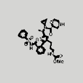 COC(=O)NCCCc1cc([C@@H](C)N(C(=O)[C@H]2CNCCO2)C2CC2)sc1-c1ccccc1C(=O)NS(=O)(=O)c1ccccc1